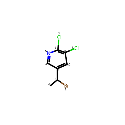 CC(Br)c1cnc(Cl)c(Cl)c1